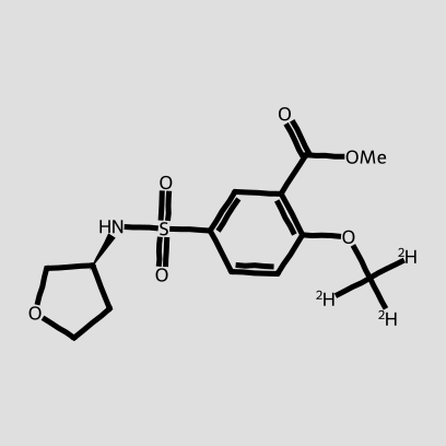 [2H]C([2H])([2H])Oc1ccc(S(=O)(=O)N[C@H]2CCOC2)cc1C(=O)OC